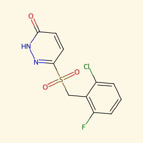 O=c1ccc(S(=O)(=O)Cc2c(F)cccc2Cl)n[nH]1